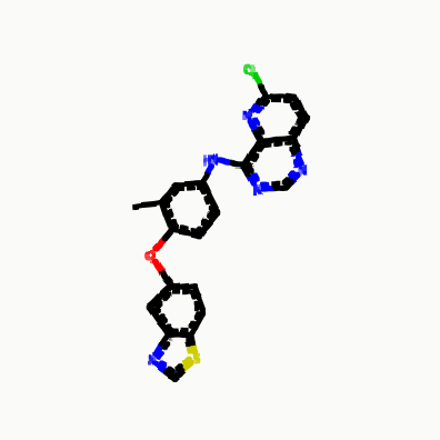 Cc1cc(Nc2ncnc3ccc(Cl)nc23)ccc1Oc1ccc2scnc2c1